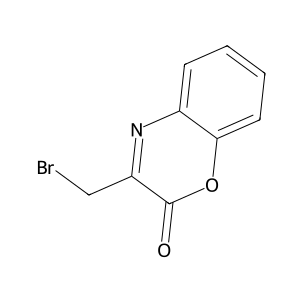 O=c1oc2ccccc2nc1CBr